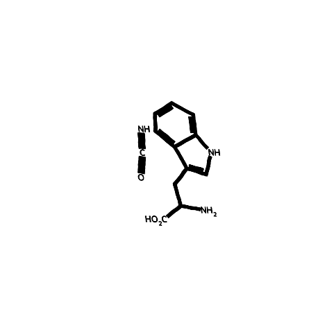 N=C=O.NC(Cc1c[nH]c2ccccc12)C(=O)O